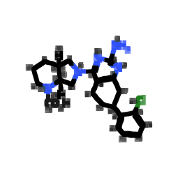 Nc1nc2c(c(N3C[C@H]4CCCN(C(=O)O)[C@H]4C3)n1)CCC(c1ccccc1Cl)C2